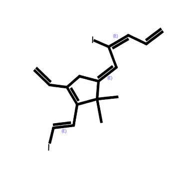 C=C/C=C(I)\C=C1/CC(C=C)=C(/C=C/I)C1(C)C